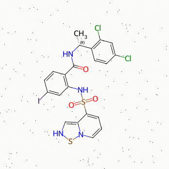 C[C@@H](NC(=O)c1ccc(I)cc1NS(=O)(=O)C1=CC=CN2SNC=C12)c1ccc(Cl)cc1Cl